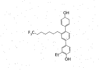 CCc1cc(-c2ccc(C3=CCC(O)C=C3)c(CCCCCCC(F)(F)F)c2)ccc1O